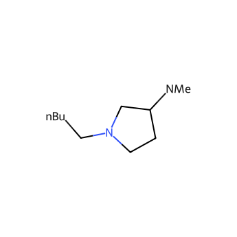 CCCCCN1CCC(NC)C1